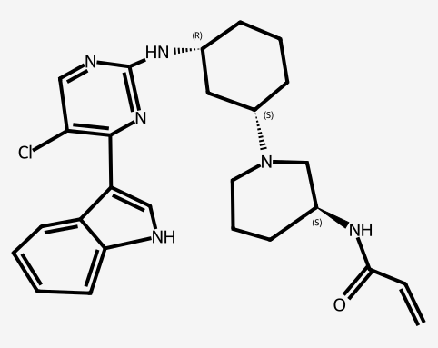 C=CC(=O)N[C@H]1CCCN([C@H]2CCC[C@@H](Nc3ncc(Cl)c(-c4c[nH]c5ccccc45)n3)C2)C1